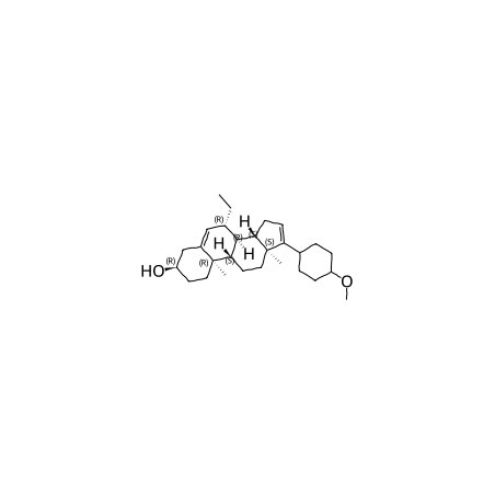 CC[C@H]1C=C2C[C@H](O)CC[C@]2(C)[C@H]2CC[C@]3(C)C(C4CCC(OC)CC4)=CC[C@H]3[C@H]12